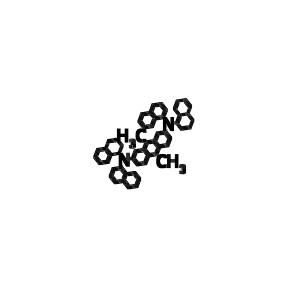 Cc1c2ccc(N(C3=C4C=CC=CC4CC=C3)c3cccc4ccccc34)cc2c(C)c2cc(N(c3cccc4ccccc34)C3CC=Cc4ccccc43)ccc12